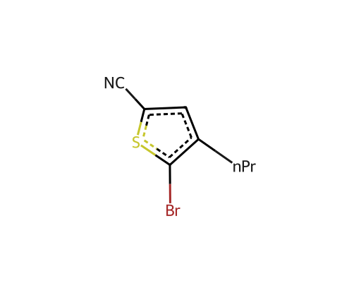 CCCc1cc(C#N)sc1Br